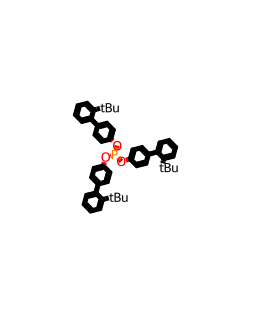 CC(C)(C)c1ccccc1-c1ccc(OP(Oc2ccc(-c3ccccc3C(C)(C)C)cc2)Oc2ccc(-c3ccccc3C(C)(C)C)cc2)cc1